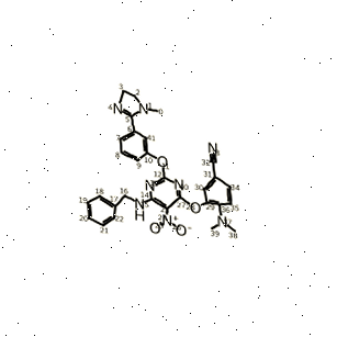 CN1CCN=C1c1cccc(Oc2nc(NCc3ccccc3)c([N+](=O)[O-])c(Oc3cc(C#N)ccc3N(C)C)n2)c1